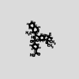 COC(C)(c1ccc(C(NS(=O)(=O)c2ccc(C(=O)O)cc2)c2ncc3ccccc3c2C)cc1)C(F)(F)F